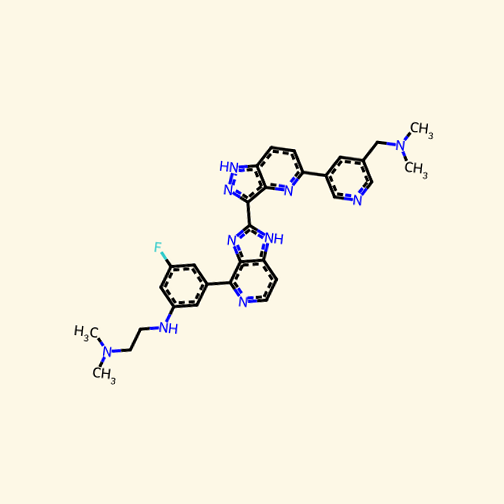 CN(C)CCNc1cc(F)cc(-c2nccc3[nH]c(-c4n[nH]c5ccc(-c6cncc(CN(C)C)c6)nc45)nc23)c1